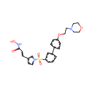 O=C(C=Cc1ccn(S(=O)(=O)c2cccc(-c3ccc(OCCN4CCOCC4)cc3)c2)c1)NO